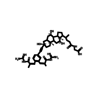 CC(=Cc1ccc(C#C[C@@]2(O)CC[C@@]3(C)C(C[C@@H](O)C4C3C[C@H](O)[C@]3(C)C(C(C)CCC(=O)NCC(=O)O)CCC43)C2)cc1C=C(C)C(=O)NC(=N)N)C(=O)NC(=N)N